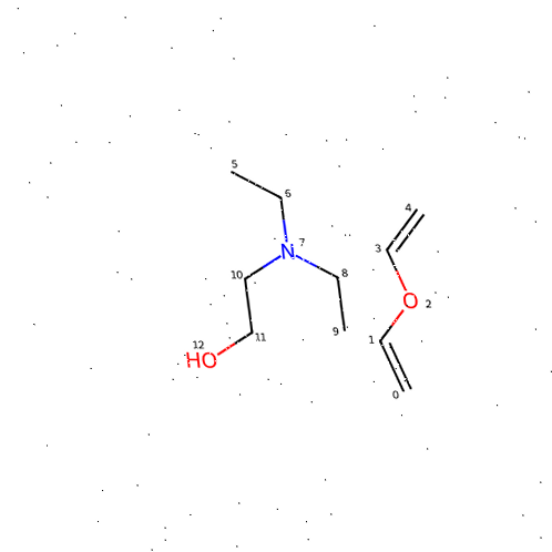 C=COC=C.CCN(CC)CCO